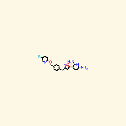 Nc1ccc(-c2cc(Cc3ccc(COc4ccc(F)cn4)cc3)no2)c(N)n1